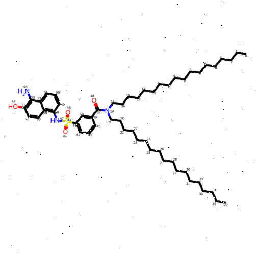 CCCCCCCCCCCCCCCCCCN(CCCCCCCCCCCCCCCCCC)C(=O)c1cccc(S(=O)(=O)Nc2cccc3c(N)c(O)ccc23)c1